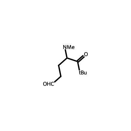 CNC(CCC=O)C(=O)C(C)(C)C